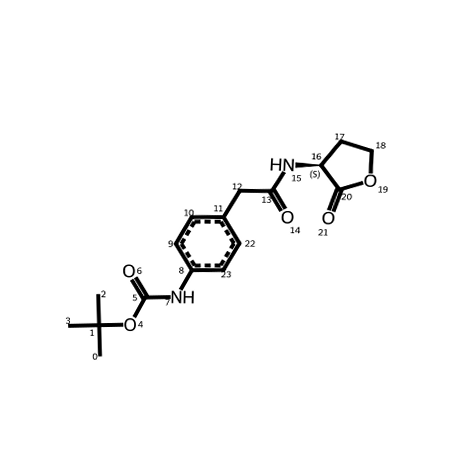 CC(C)(C)OC(=O)Nc1ccc(CC(=O)N[C@H]2CCOC2=O)cc1